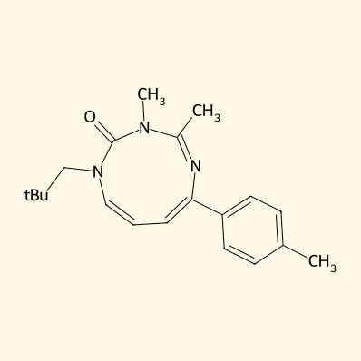 Cc1ccc(-c2cccn(CC(C)(C)C)c(=O)n(C)c(C)n2)cc1